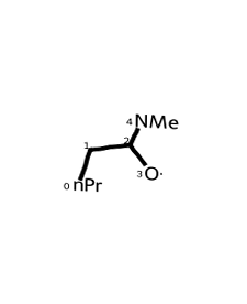 CCCCC([O])NC